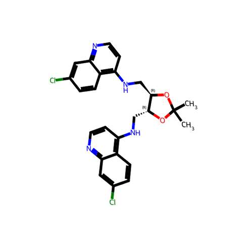 CC1(C)O[C@H](CNc2ccnc3cc(Cl)ccc23)[C@@H](CNc2ccnc3cc(Cl)ccc23)O1